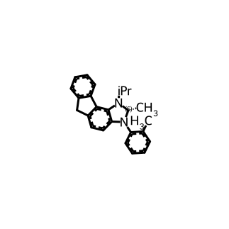 Cc1ccccc1N1c2ccc3c(c2N(C(C)C)[C@@H]1C)-c1ccccc1C3